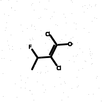 CC(F)C(Cl)=C([O])Cl